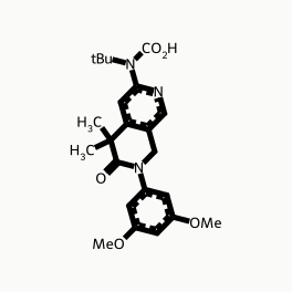 COc1cc(OC)cc(N2Cc3cnc(N(C(=O)O)C(C)(C)C)cc3C(C)(C)C2=O)c1